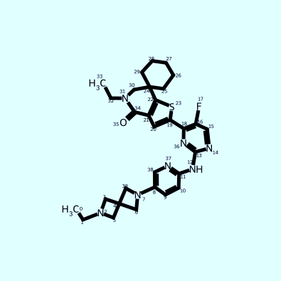 CCN1CC2(C1)CN(c1ccc(Nc3ncc(F)c(-c4cc5c(s4)C4(CCCCC4)CN(CC)C5=O)n3)nc1)C2